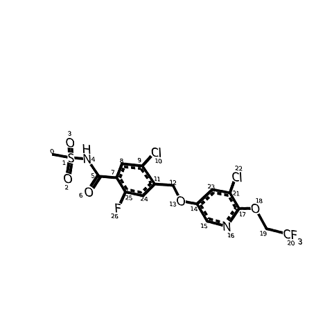 CS(=O)(=O)NC(=O)c1cc(Cl)c(COc2cnc(OCC(F)(F)F)c(Cl)c2)cc1F